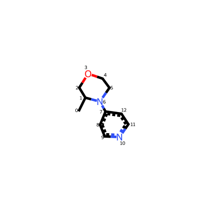 CC1COCCN1c1ccncc1